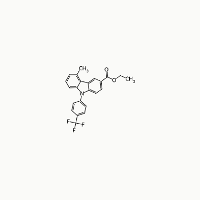 CCOC(=O)c1ccc2c(c1)c1c(C)cccc1n2-c1ccc(C(F)(F)F)cc1